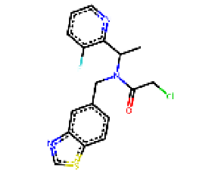 CC(c1ncccc1F)N(Cc1ccc2scnc2c1)C(=O)CCl